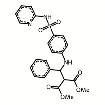 COC(=O)C(C(=O)OC)C(Nc1ccc(S(=O)(=O)Nc2ccccn2)cc1)c1ccccc1